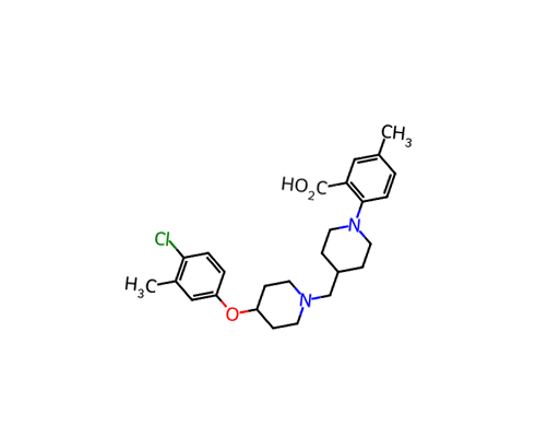 Cc1ccc(N2CCC(CN3CCC(Oc4ccc(Cl)c(C)c4)CC3)CC2)c(C(=O)O)c1